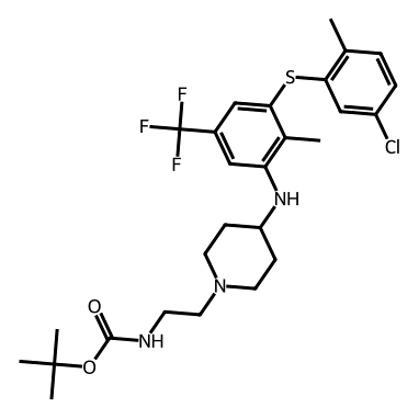 Cc1ccc(Cl)cc1Sc1cc(C(F)(F)F)cc(NC2CCN(CCNC(=O)OC(C)(C)C)CC2)c1C